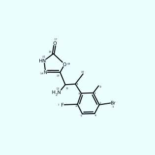 Cc1c(Br)ccc(F)c1C(C)C(N)c1n[nH]c(=O)o1